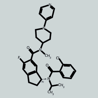 CC(C)N(C(=O)c1ccccc1Cl)[C@@H]1CCc2cc(F)c(C(=O)N(C)C3CCN(c4ccncc4)CC3)cc21